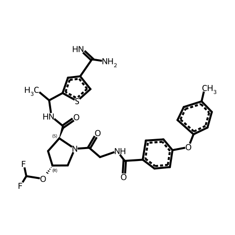 Cc1ccc(Oc2ccc(C(=O)NCC(=O)N3C[C@H](OC(F)F)C[C@H]3C(=O)NC(C)c3cc(C(=N)N)cs3)cc2)cc1